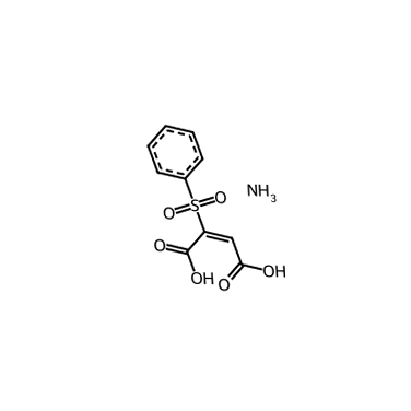 N.O=C(O)/C=C(\C(=O)O)S(=O)(=O)c1ccccc1